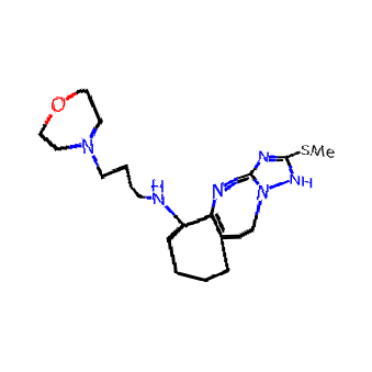 CSC1=NC2=NC3=C(CCCCC3NCCCN3CCOCC3)CN2N1